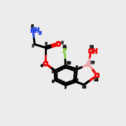 NCC(=O)Oc1ccc2c(c1F)B(O)OC2